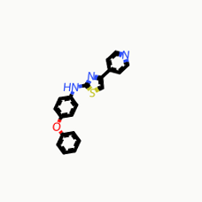 c1ccc(Oc2ccc(Nc3nc(-c4ccncc4)cs3)cc2)cc1